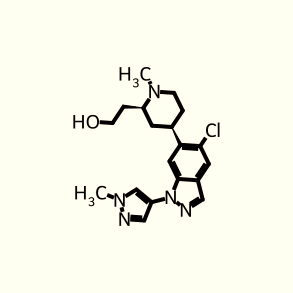 CN1CC[C@@H](c2cc3c(cnn3-c3cnn(C)c3)cc2Cl)C[C@H]1CCO